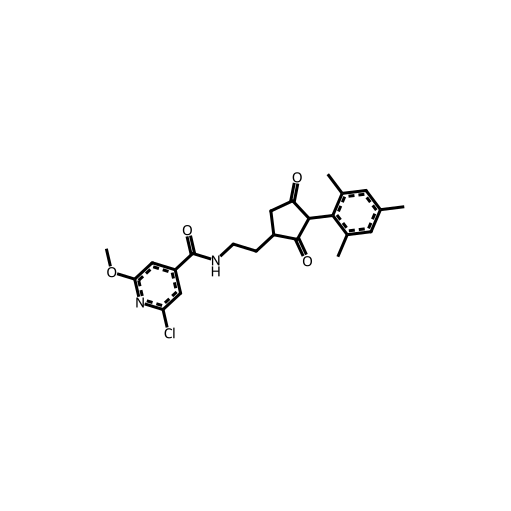 COc1cc(C(=O)NCCC2CC(=O)C(c3c(C)cc(C)cc3C)C2=O)cc(Cl)n1